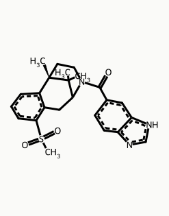 CC1(C)C2Cc3c(cccc3S(C)(=O)=O)[C@]1(C)CCN2C(=O)c1ccc2nc[nH]c2c1